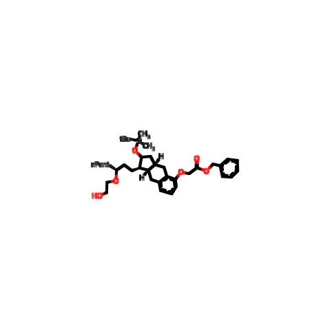 CCCCC[C@@H](CC[C@H]1C(O[Si](C)(C)C(C)(C)C)C[C@@H]2Cc3c(cccc3OCC(=O)OCc3ccccc3)C[C@@H]21)OCCO